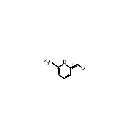 C/C=C1\C=CC=C(C)N1